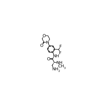 CN[C@@H](CN)C(=O)Nc1ccc(N2CCOCC2=O)cc1C(F)F